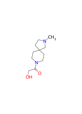 CN1CCC2(CCN(C(=O)CO)CC2)C1